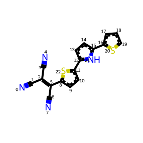 N#CC(C#N)=C(C#N)c1ccc(-c2ccc(-c3cccs3)[nH]2)s1